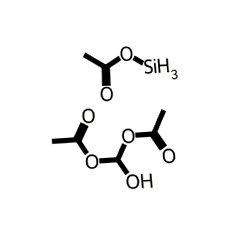 CC(=O)OC(O)OC(C)=O.CC(=O)O[SiH3]